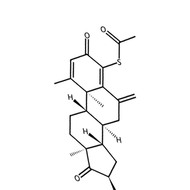 C=C1C[C@@H]2[C@H](CC[C@]3(C)C(=O)[C@H](F)C[C@@H]23)[C@@]2(C)C(C)=CC(=O)C(SC(C)=O)=C12